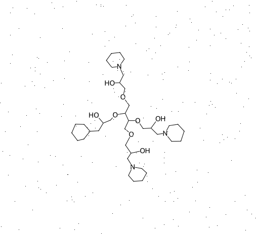 OC(COC(COCC(O)CN1CCCCC1)C(COCC(O)CN1CCCCC1)OCC(O)CN1CCCCC1)CC1CCCCC1